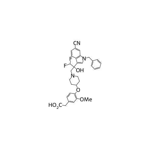 COc1cc(CC(=O)O)ccc1OC1CCN(CC(O)(c2cn(Cc3ccccc3)c3cc(C#N)ccc23)C(F)F)CC1